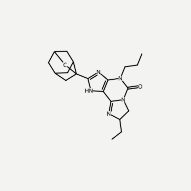 CCCN1C(=O)N2CC(CC)N=C2c2[nH]c(C34CC5CC(CC3C5)C4)nc21